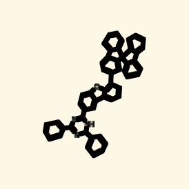 c1ccc(C2=NC(c3ccccc3)NC(c3ccc4oc5c(-c6ccc7c(c6)C6(c8ccccc8-c8ccccc86)c6ccccc6-7)cccc5c4c3)=N2)cc1